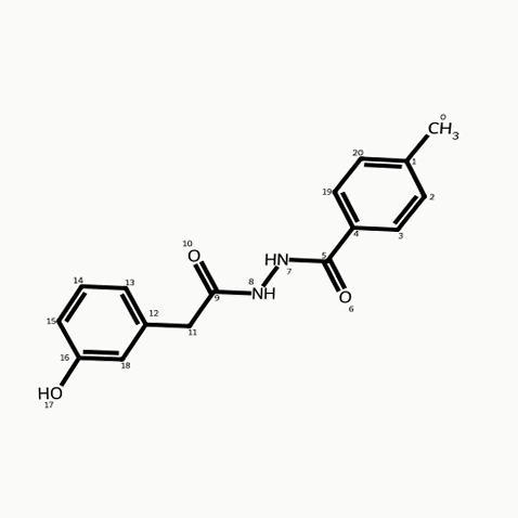 Cc1ccc(C(=O)NNC(=O)Cc2cccc(O)c2)cc1